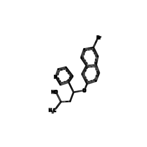 CC(O)CC(Oc1ccc2cc(Br)ccc2c1)c1cccnc1